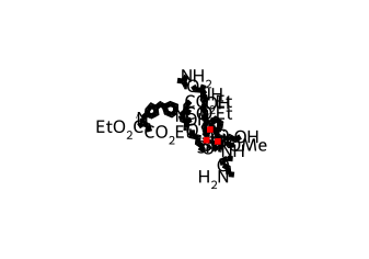 CCOC(=O)CC(C(=O)OCC)N(C)C1CCC(CC2CCC(N(CC(O)COCCC[Si](C)(C)O[Si](C)(C)O[Si](O[Si](C)(C)CCCOCC(O)CNC(C)COCC(C)N)(O[Si](CCO)(CCNC(C)COCC(C)N)COC)c3ccccc3)C(CC(=O)OCC)C(=O)OCC)CC2)CC1